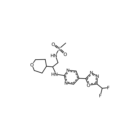 CS(=O)(=O)NCC(Nc1ncc(-c2nnc(C(F)F)o2)cn1)C1CCOCC1